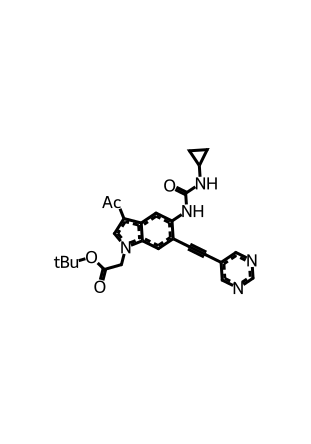 CC(=O)c1cn(CC(=O)OC(C)(C)C)c2cc(C#Cc3cncnc3)c(NC(=O)NC3CC3)cc12